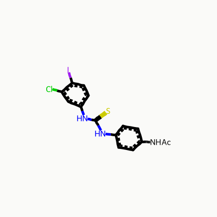 CC(=O)Nc1ccc(NC(=S)Nc2ccc(I)c(Cl)c2)cc1